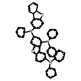 C1=CC2Sc3ccc(N(c4ccccc4)c4cc(N(c5ccccc5)c5ccccc5)c5c(c4)sc4ccc(N(c6ccccc6)c6ccccc6)cc45)cc3C2C=C1